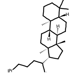 [CH2][C](CCCC(C)C)[C@H]1CC[C@@]2(C)[C@@H]3CC[C@H]4C(C)(C)CCC[C@]4(C)[C@H]3CC[C@]12C